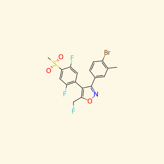 Cc1cc(-c2noc(CF)c2-c2cc(F)c(S(C)(=O)=O)cc2F)ccc1Br